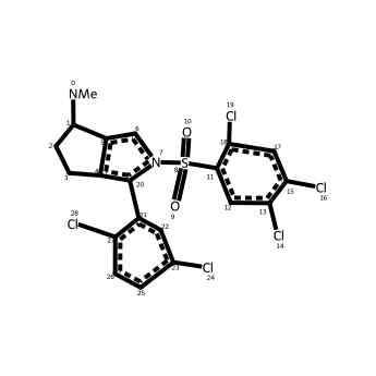 CNC1CCc2c1cn(S(=O)(=O)c1cc(Cl)c(Cl)cc1Cl)c2-c1cc(Cl)ccc1Cl